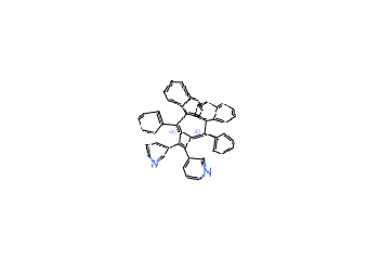 c1ccc(/C(=C2C(c3cccnc3)=C(c3cccnc3)C\2=C(/c2ccccc2)c2cccc3ccccc23)c2cccc3ccccc23)cc1